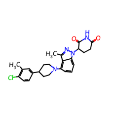 Cc1cc(C2CCN(c3cccc4c3c(C)nn4C3CCC(=O)NC3=O)CC2)ccc1Cl